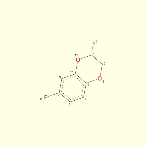 C[C@@H]1COc2ccc(F)cc2O1